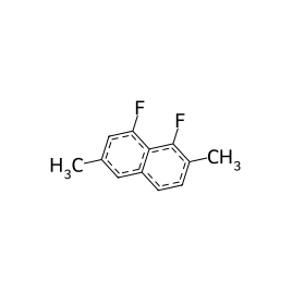 Cc1cc(F)c2c(F)c(C)ccc2c1